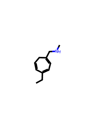 CCC1=CC=C(CNC)CC=C1